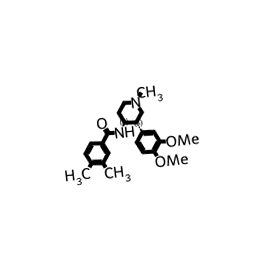 COc1ccc([C@H]2CN(C)CC[C@H]2NC(=O)c2ccc(C)c(C)c2)cc1OC